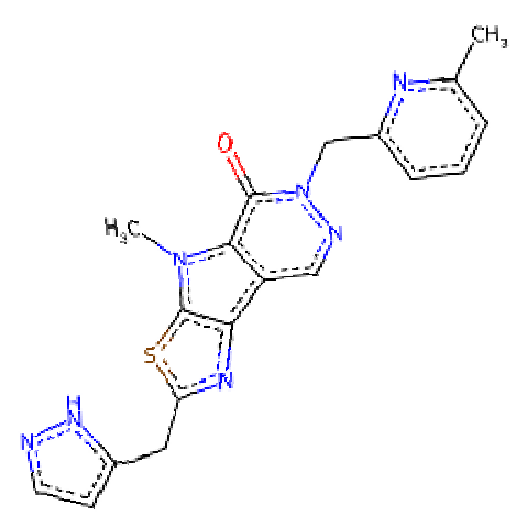 Cc1cccc(Cn2ncc3c4nc(Cc5ccn[nH]5)sc4n(C)c3c2=O)n1